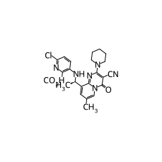 Cc1cc([C@@H](C)Nc2ccc(Cl)nc2C(=O)O)c2nc(N3CCCCC3)c(C#N)c(=O)n2c1